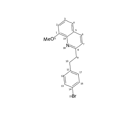 COc1cccc2ccc(CCc3ccc(Br)cc3)nc12